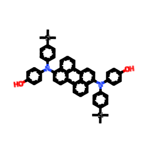 C[Si](C)(C)c1ccc(N(c2ccc(O)cc2)c2ccc3c4cccc5c(N(c6ccc(O)cc6)c6ccc([Si](C)(C)C)cc6)ccc(c6cccc2c63)c54)cc1